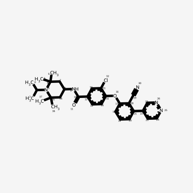 CC(C)N1C(C)(C)CC(NC(=O)c2ccc(Oc3cccc(-c4ccnnc4)c3C#N)c(Cl)c2)CC1(C)C